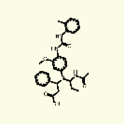 CCC(NC(C)=O)N(c1ccc(NC(=O)Nc2ccccc2C)c(OC)c1)C(CC(=O)O)c1ccccc1